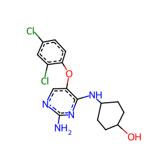 Nc1ncc(Oc2ccc(Cl)cc2Cl)c(NC2CCC(O)CC2)n1